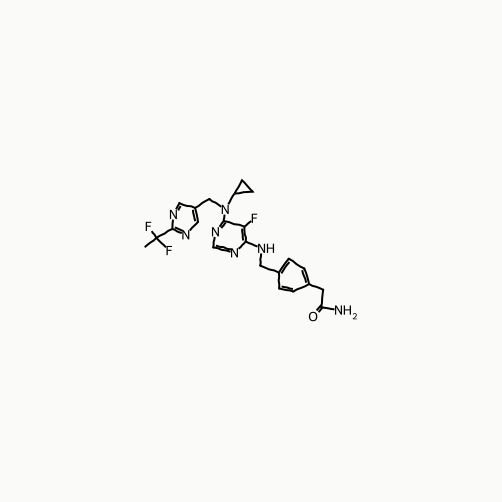 CC(F)(F)c1ncc(CN(c2ncnc(NCc3ccc(CC(N)=O)cc3)c2F)C2CC2)cn1